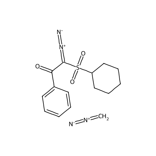 C=[N+]=[N-].[N-]=[N+]=C(C(=O)c1ccccc1)S(=O)(=O)C1CCCCC1